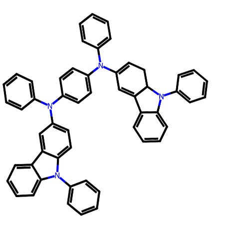 C1=C2c3ccccc3N(c3ccccc3)C2CC=C1N(c1ccccc1)c1ccc(N(c2ccccc2)c2ccc3c(c2)c2ccccc2n3-c2ccccc2)cc1